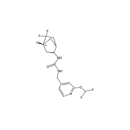 O=C(NCc1ccnc(OC(F)F)c1)NC1C[C@H]2CC1CC2(F)F